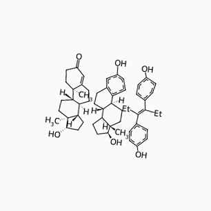 CC/C(=C(/CC)c1ccc(O)cc1)c1ccc(O)cc1.C[C@]12CC[C@@H]3c4ccc(O)cc4CC[C@H]3[C@@H]1CC[C@@H]2O.C[C@]12CC[C@H]3[C@@H](CCC4=CC(=O)CC[C@@]43C)[C@@H]1CC[C@@H]2O